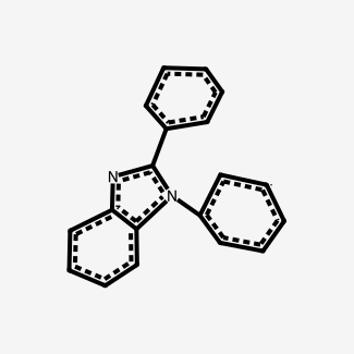 [c]1cccc(-n2c(-c3ccccc3)nc3ccccc32)c1